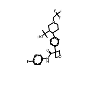 CC(C)(O)C1CN(CC(F)(F)F)CCC1c1ccc(C2(C(=O)Nc3ccc(F)cc3)COC2)cc1